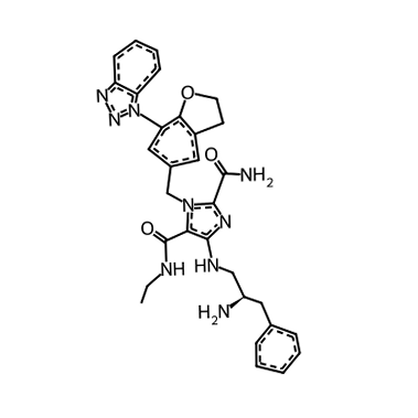 CCNC(=O)c1c(NC[C@H](N)Cc2ccccc2)nc(C(N)=O)n1Cc1cc2c(c(-n3nnc4ccccc43)c1)OCC2